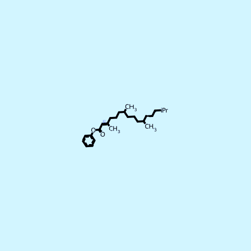 C/C(=C\C(=O)Oc1ccccc1)CCCC(C)CCCC(C)CCCC(C)C